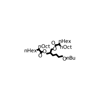 CCCCCCCCC(CCCCCC)C(=O)OCC(CCCCOCCCC)COC(=O)C(CCCCCC)CCCCCCCC